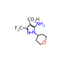 Nc1c(C(=O)O)c(C(F)(F)F)nn1C1CCOCC1